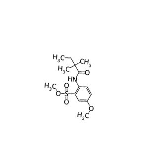 CCC(C)(C)C(=O)Nc1ccc(OC)cc1S(=O)(=O)OC